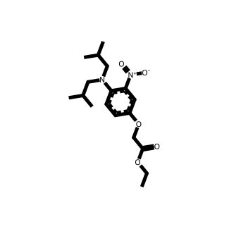 CCOC(=O)COc1ccc(N(CC(C)C)CC(C)C)c([N+](=O)[O-])c1